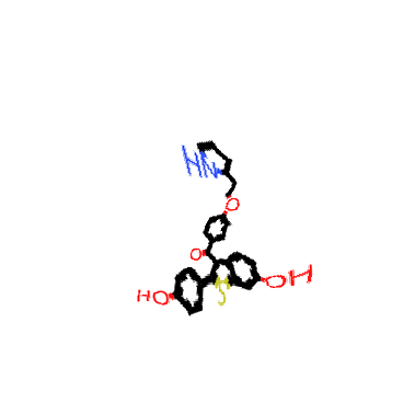 O=C(c1ccc(OCCC2CCCN2)cc1)c1c(-c2ccc(O)cc2)sc2cc(O)ccc12